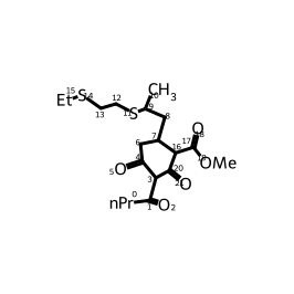 CCCC(=O)C1C(=O)CC(CC(C)SCCSCC)C(C(=O)OC)C1=O